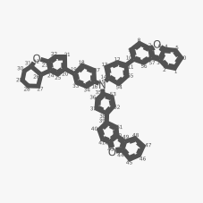 c1ccc2c(c1)oc1ccc(-c3ccc(N(c4ccc(-c5ccc6c(c5)C5CCCCC5O6)cc4)c4ccc(-c5ccc6oc7ccccc7c6c5)cc4)cc3)cc12